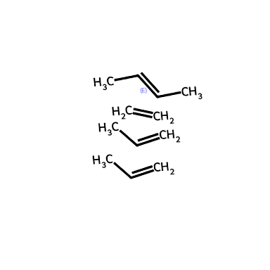 C/C=C/C.C=C.C=CC.C=CC